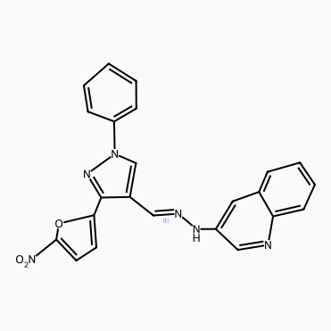 O=[N+]([O-])c1ccc(-c2nn(-c3ccccc3)cc2/C=N/Nc2cnc3ccccc3c2)o1